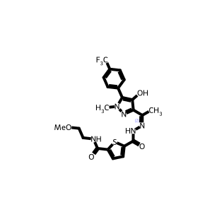 COCCNC(=O)c1ccc(C(=O)N/N=C(/C)c2nn(C)c(-c3ccc(C(F)(F)F)cc3)c2O)s1